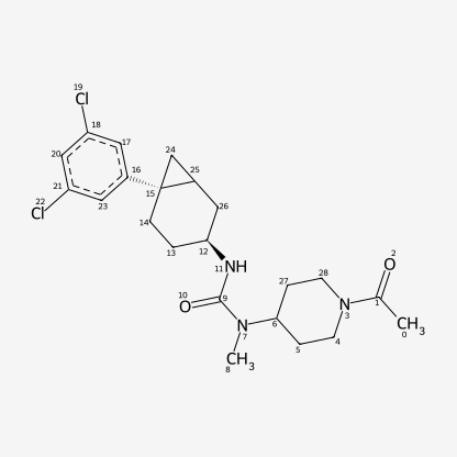 CC(=O)N1CCC(N(C)C(=O)N[C@H]2CC[C@@]3(c4cc(Cl)cc(Cl)c4)CC3C2)CC1